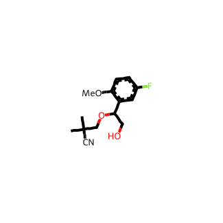 COc1ccc(F)cc1C(CO)OCC(C)(C)C#N